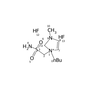 CCCC[N+]1(CS(N)(=O)=O)C=CN(C)C1.F.F